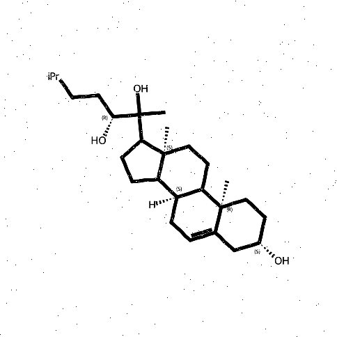 CC(C)CC[C@@H](O)C(C)(O)C1CCC2[C@@H]3CC=C4C[C@@H](O)CC[C@]4(C)C3CC[C@@]21C